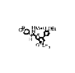 CCOc1ccc(-c2cn(C)c(=O)c3cc(C(=N)NC4CCS(=O)(=O)CC4)sc23)cc1OC